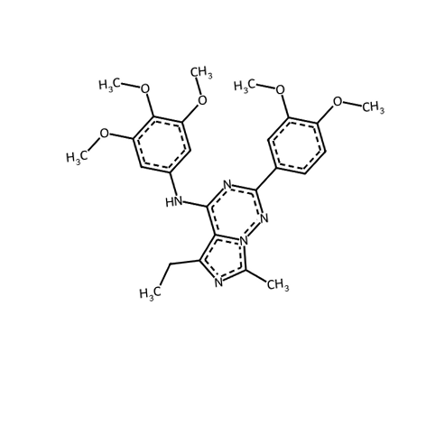 CCc1nc(C)n2nc(-c3ccc(OC)c(OC)c3)nc(Nc3cc(OC)c(OC)c(OC)c3)c12